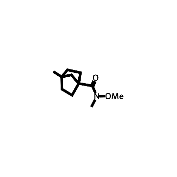 CON(C)C(=O)C12CCC(C)(CC1)C2